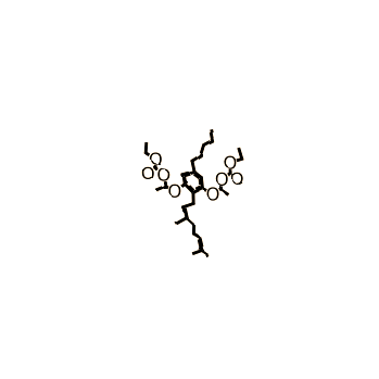 CCCCCc1cc(OC(C)OC(=O)OCC)c(CC=C(C)CCC=C(C)C)c(OC(C)OC(=O)OCC)c1